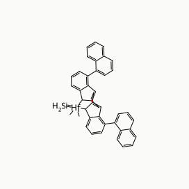 CC1=Cc2c(-c3cccc4ccccc34)cccc2[CH]1[Hf]([CH3])([CH3])(=[SiH2])[CH]1C(C)=Cc2c(-c3cccc4ccccc34)cccc21